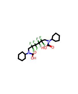 O=C(O)N(CC(F)(F)C(F)(F)C(F)(F)C(F)(F)CN(C(=O)O)C1CCCCC1)C1CCCCC1